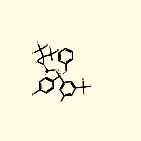 O=C(N[C@](Cc1ccccc1)(c1ccc(F)cc1)c1cc(F)cc(C(F)(F)F)c1)[C@H]1OC1(C(F)(F)F)C(F)(F)F